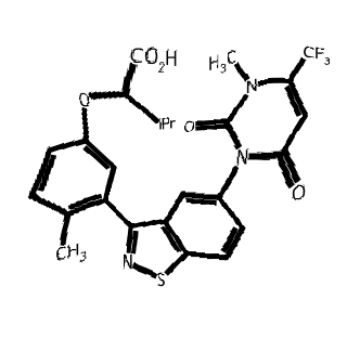 Cc1ccc(OC(C(=O)O)C(C)C)cc1-c1nsc2ccc(-n3c(=O)cc(C(F)(F)F)n(C)c3=O)cc12